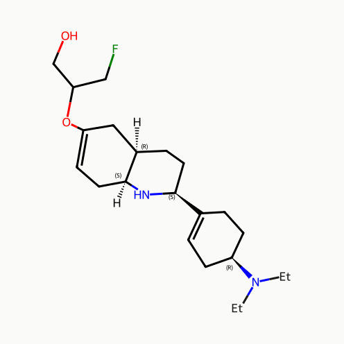 CCN(CC)[C@H]1CC=C([C@@H]2CC[C@@H]3CC(OC(CO)CF)=CC[C@@H]3N2)CC1